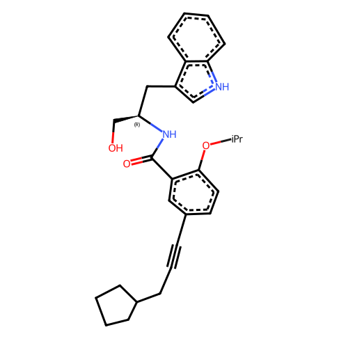 CC(C)Oc1ccc(C#CCC2CCCC2)cc1C(=O)N[C@@H](CO)Cc1c[nH]c2ccccc12